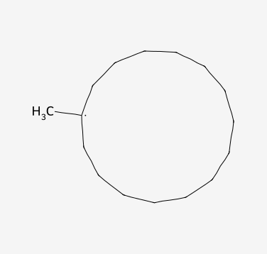 C[C]1CCCCCCCCCCCCCC1